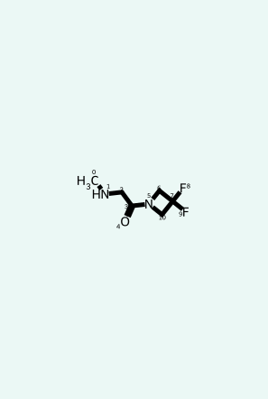 CNCC(=O)N1CC(F)(F)C1